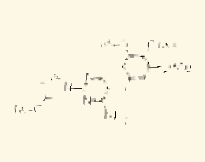 COc1cc(Cc2cnc(N(OC(C)OC)C(C)=O)nc2N)cc(OC)c1OC